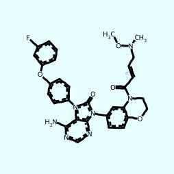 CON(C)C/C=C/C(=O)N1CCOc2ccc(-n3c(=O)n(-c4ccc(Oc5cccc(F)c5)cc4)c4c(N)ncnc43)cc21